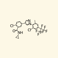 Cc1cc(C(F)(C(F)(F)F)C(F)(F)F)cc(Cl)c1-n1cc(-c2ccc(Cl)c(C(=O)NC3CC3)c2)cn1